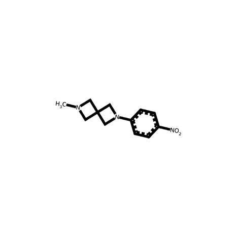 CN1CC2(C1)CN(c1ccc([N+](=O)[O-])cc1)C2